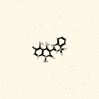 CCCn1c(=O)c(C2=NS(=O)(=O)c3ccccc3N2)c(O)c2c(N)c(C)cnc21